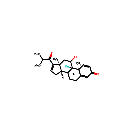 COC(OC)C(=O)C1=CC[C@H]2[C@@H]3CCC4=CC(=O)C=C[C@]4(C)[C@@]3(F)C(O)C[C@]12C